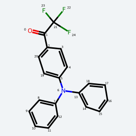 O=C(c1ccc(N(c2ccccc2)c2ccccc2)cc1)C(F)(F)F